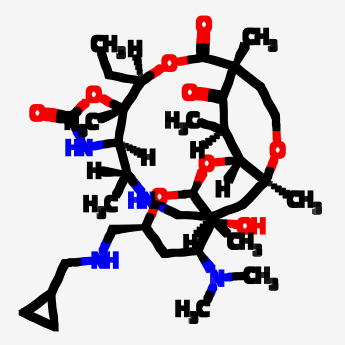 CC[C@H]1OC(=O)[C@]2(C)CCO[C@@](C)(C[C@@H](C)CN[C@H](C)[C@H]3NC(=O)O[C@@]31C)[C@H](O[C@@H]1O[C@H](CNCC3CC3)C[C@H](N(C)C)[C@H]1O)[C@@H](C)C2=O